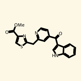 COC(=O)c1csc(Cc2cc(C(=O)c3c[nH]c4ccccc34)ccn2)n1